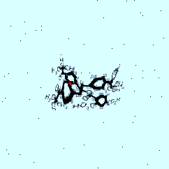 CC(C)(O)C(=O)c1ccc(CC(Cc2ccc(C(=O)C(C)(C)O)cc2)(OC(=O)c2ccc(C(=O)O)cc2C(=O)O)c2ccc(C(=O)C(C)(C)O)cc2)cc1